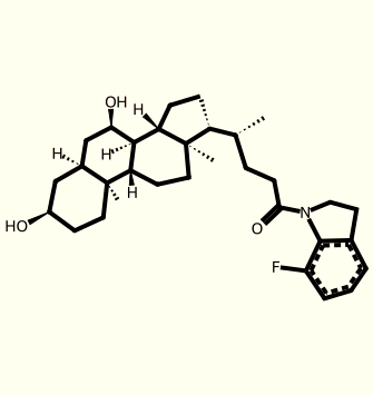 C[C@H](CCC(=O)N1CCc2cccc(F)c21)[C@H]1CC[C@H]2[C@@H]3[C@H](O)C[C@@H]4C[C@H](O)CC[C@]4(C)[C@H]3CC[C@]12C